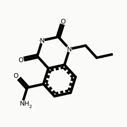 CCCN1C(=O)[N]C(=O)c2c(C(N)=O)cccc21